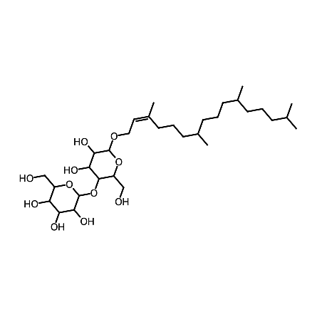 CC(=CCOC1OC(CO)C(OC2OC(CO)C(O)C(O)C2O)C(O)C1O)CCCC(C)CCCC(C)CCCC(C)C